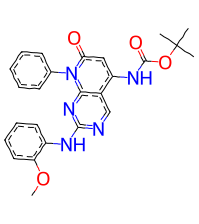 COc1ccccc1Nc1ncc2c(NC(=O)OC(C)(C)C)cc(=O)n(-c3ccccc3)c2n1